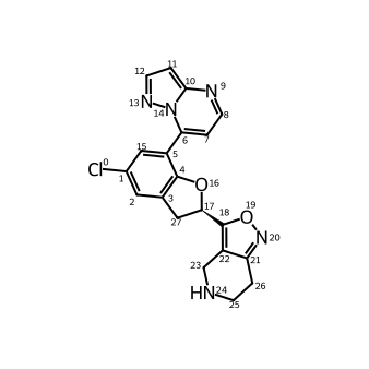 Clc1cc2c(c(-c3ccnc4ccnn34)c1)O[C@@H](c1onc3c1CNCC3)C2